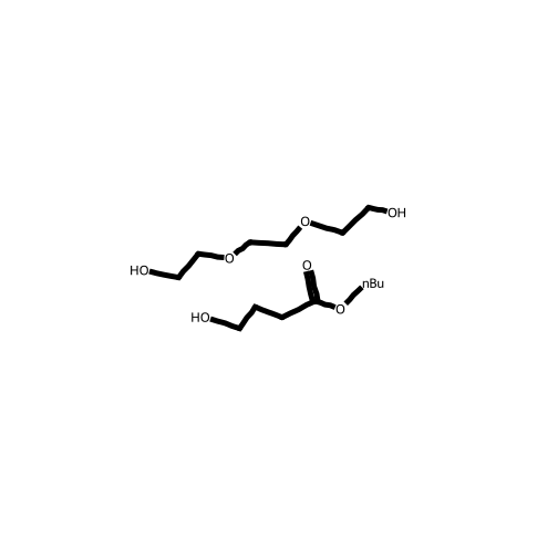 CCCCOC(=O)CCCO.OCCOCCOCCO